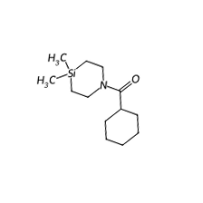 C[Si]1(C)CCN(C(=O)C2CCCCC2)CC1